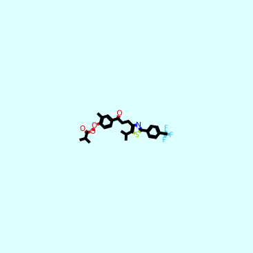 Cc1cc(C(=O)CCc2nc(-c3ccc(C(F)(F)F)cc3)sc2C(C)C)ccc1OOC(=O)C(C)C